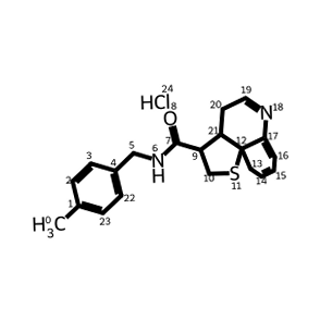 Cc1ccc(CNC(=O)C2CSC34CC=CC=C3N=CCC24)cc1.Cl